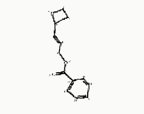 O=C(OC/C=C/C1CCO1)c1ccccc1